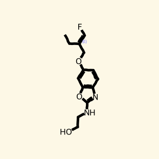 CC/C(=C\F)COc1ccc2nc(NCCO)oc2c1